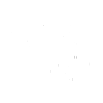 CC[C@H](C)[C@H](NC[C@@H](N)CS)C(=O)NCc1ccc(Cl)cc1Cl.O=C(O)C(F)(F)F.O=C(O)C(F)(F)F